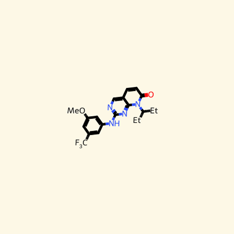 CCC(CC)n1c(=O)ccc2cnc(Nc3cc(OC)cc(C(F)(F)F)c3)nc21